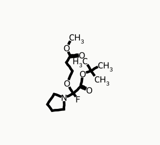 COC(=O)CCOC(F)(C(=O)OC(C)(C)C)N1CCCC1